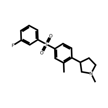 Cc1cc(S(=O)(=O)c2cccc(F)c2)ccc1C1CCN(C)C1